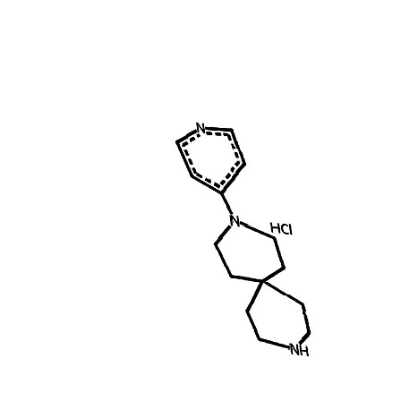 Cl.c1cc(N2CCC3(CCNCC3)CC2)ccn1